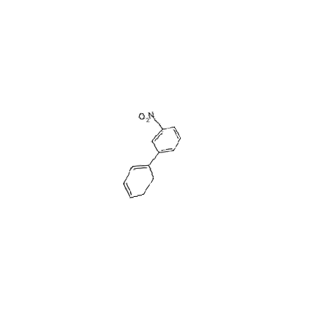 O=[N+]([O-])c1cccc(C2=CC=CCC2)c1